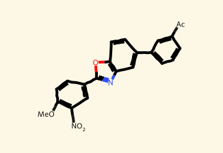 COc1ccc(-c2nc3cc(-c4cccc(C(C)=O)c4)ccc3o2)cc1[N+](=O)[O-]